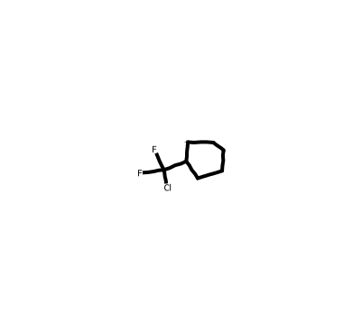 FC(F)(Cl)C1[CH]CCCC1